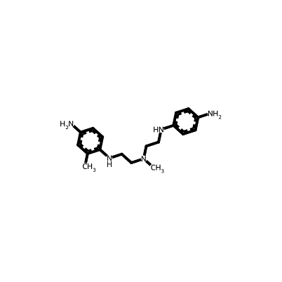 Cc1cc(N)ccc1NCCN(C)CCNc1ccc(N)cc1